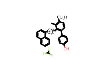 CSc1cccc2ccccc12.Cc1c(C(=O)O)ccc(-c2ccc(O)cc2)c1C(=O)O.FC(F)F